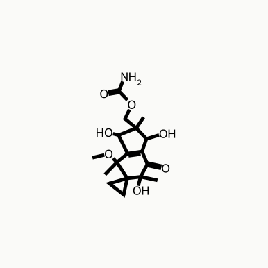 COC1(C)C2=C(C(=O)C(C)(O)C13CC3)C(O)C(C)(COC(N)=O)C2O